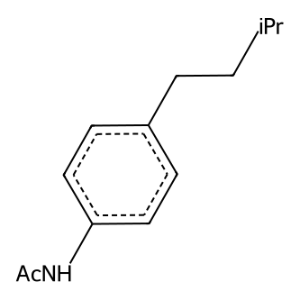 CC(=O)Nc1ccc(CCC(C)C)cc1